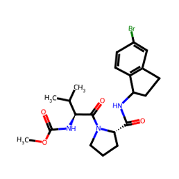 COC(=O)N[C@H](C(=O)N1CCC[C@H]1C(=O)NC1CCc2cc(Br)ccc21)C(C)C